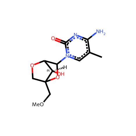 COCC12COC(C(n3cc(C)c(N)nc3=O)O1)[C@H]2O